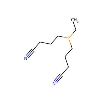 CCP(CCCC#N)CCCC#N